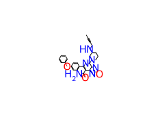 CC#CCN[C@@H]1CCCN(c2nc(-c3ccc(Oc4ccccc4)cc3)c(C(N)=O)c3c2=NC(=O)N=3)C1